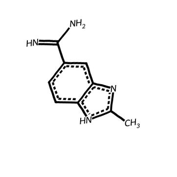 Cc1nc2cc(C(=N)N)ccc2[nH]1